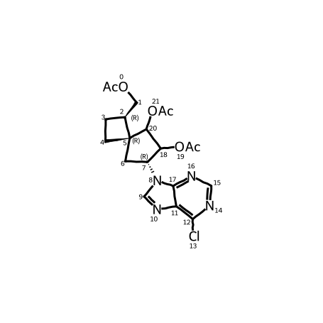 CC(=O)OC[C@@H]1CC[C@@]12C[C@@H](n1cnc3c(Cl)ncnc31)C(OC(C)=O)C2OC(C)=O